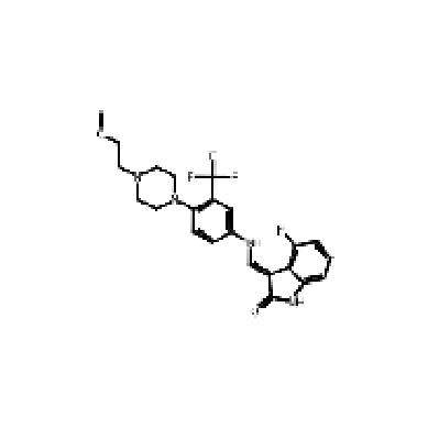 COCCN1CCN(c2ccc(N/C=C3/C(=O)Nc4cccc(F)c43)cc2C(F)(F)F)CC1